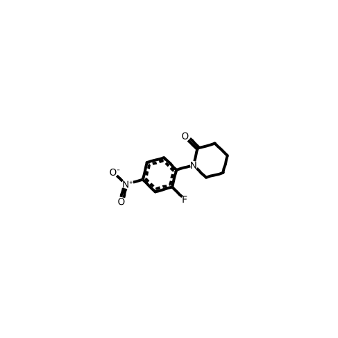 O=C1CCCCN1c1ccc([N+](=O)[O-])cc1F